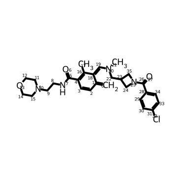 C=c1ccc(C(=O)NCCN2CCOCC2)c(C)/c1=C/N(C)CC1CN(C(=O)c2ccc(Cl)cc2)C1